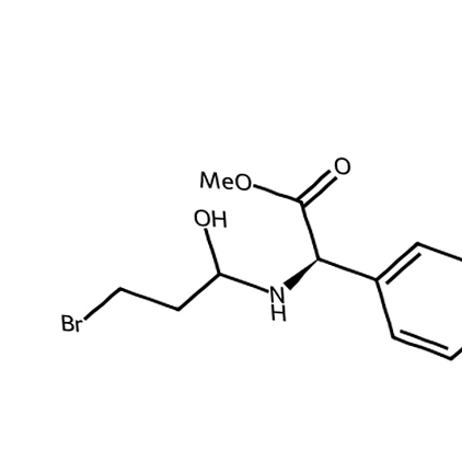 COC(=O)[C@H](NC(O)CCBr)c1ccccc1